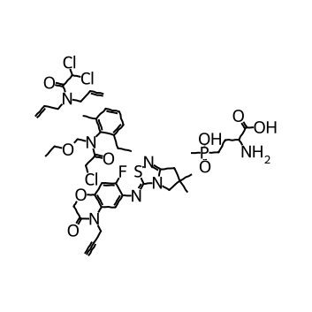 C#CCN1C(=O)COc2cc(F)c(/N=c3\snc4n3CC(C)(C)C4)cc21.C=CCN(CC=C)C(=O)C(Cl)Cl.CCOCN(C(=O)CCl)c1c(C)cccc1CC.CP(=O)(O)CCC(N)C(=O)O